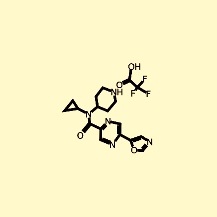 O=C(O)C(F)(F)F.O=C(c1cnc(-c2cnco2)cn1)N(C1CCNCC1)C1CC1